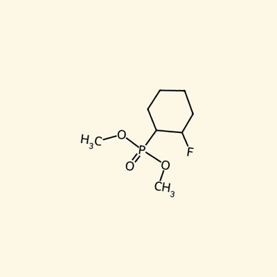 COP(=O)(OC)C1CCCCC1F